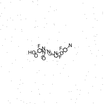 N#Cc1ccc(OCc2nc([C@H]3CCN(Cc4nc5c(F)cc(C(=O)O)cc5n4C[C@@H]4CCO4)C3)ccc2F)c(F)c1